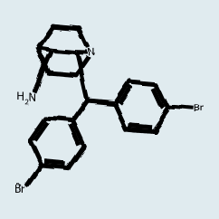 NC1C2CCN(CC2)C1C(c1ccc(Br)cc1)c1ccc(Br)cc1